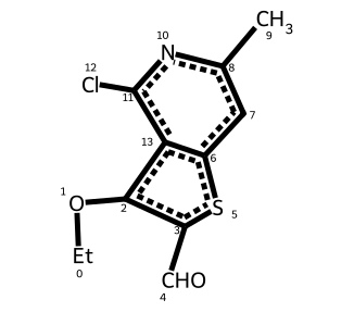 CCOc1c(C=O)sc2cc(C)nc(Cl)c12